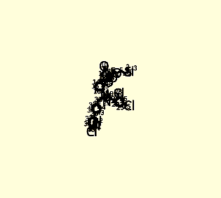 C[Si](C)(C)CCOCN1C(=O)CN(c2cccc(-n3cc(-c4ccc(Cl)cc4Cl)nc3Cc3ccc(-c4ccc(Cl)nn4)cc3)c2)S1(=O)=O